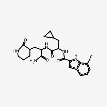 NC(=O)C(CC1CCCNC1=O)NC(=O)C(CC1CC1)NC(=O)c1cc2cccc(Cl)c2[nH]1